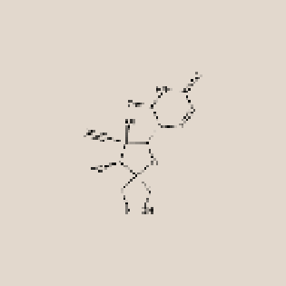 C#C[C@@]1(O)[C@H](O)[C@](CO)(CF)O[C@H]1n1ccc(=O)[nH]c1=O